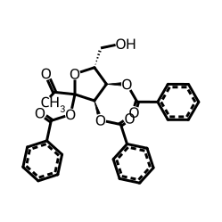 CC(=O)C1(OC(=O)c2ccccc2)O[C@H](CO)[C@@H](OC(=O)c2ccccc2)[C@H]1OC(=O)c1ccccc1